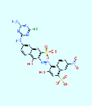 Nc1nc(Cl)nc(Nc2ccc3c(O)c(/N=N/c4c(O)cc(S(=O)(=O)O)c5cc([N+](=O)[O-])ccc45)c(S(=O)(=O)O)cc3c2)n1